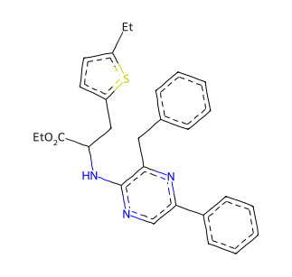 CCOC(=O)C(Cc1ccc(CC)s1)Nc1ncc(-c2ccccc2)nc1Cc1ccccc1